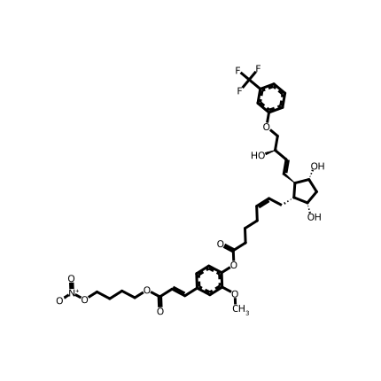 COc1cc(/C=C/C(=O)OCCCCO[N+](=O)[O-])ccc1OC(=O)CCC/C=C\C[C@@H]1[C@@H](/C=C/[C@@H](O)COc2cccc(C(F)(F)F)c2)[C@H](O)C[C@@H]1O